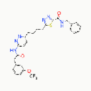 O=C(Cc1cccc(OC(F)(F)F)c1)Nc1ccc(CCCCc2nnc(C(=O)NCc3ccccc3)s2)nn1